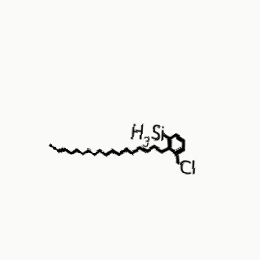 CCCCCCCCCCCCCCCCCCc1c([SiH3])cccc1CCl